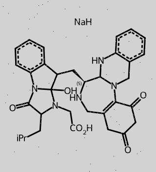 CC(C)CC1C(=O)N2c3ccccc3C(C[C@@H]3NCC4=C(C(=O)CC(=O)C4)N4Cc5ccccc5NC34)C2(O)N1CC(=O)O.[NaH]